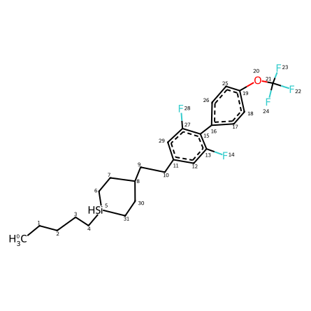 CCCCC[SiH]1CCC(CCc2cc(F)c(-c3ccc(OC(F)(F)F)cc3)c(F)c2)CC1